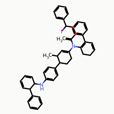 C=C(/C=C\C(I)c1ccccc1)N(C1=CC(C)C(c2ccc(NC3C=CC=CC3c3ccccc3)cc2)CC1)C1=C(c2ccccc2)C=CCC1